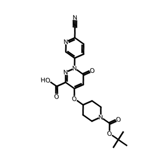 CC(C)(C)OC(=O)N1CCC(Oc2cc(=O)n(-c3ccc(C#N)nc3)nc2C(=O)O)CC1